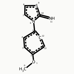 COc1ccc(-n2ccsc2=N)cc1